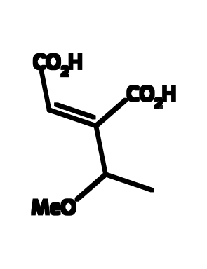 COC(C)C(=CC(=O)O)C(=O)O